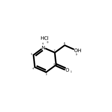 Cl.O=C1C=CC=NC1CO